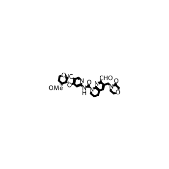 CO[C@H]1CCOC[C@@H]1Oc1cc(NC(=O)N2CCCc3cc(CN4CCOCC4=O)c(C=O)nc32)ncc1C#N